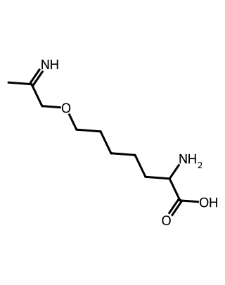 CC(=N)COCCCCCC(N)C(=O)O